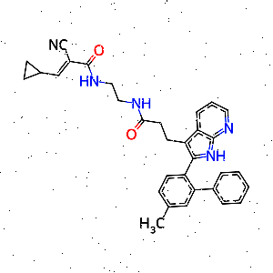 Cc1ccc(-c2[nH]c3ncccc3c2CCC(=O)NCCNC(=O)C(C#N)=CC2CC2)c(-c2ccccc2)c1